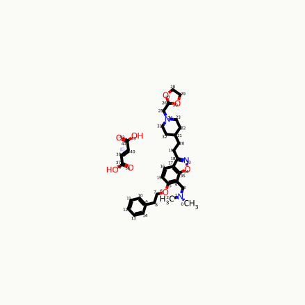 CN(C)Cc1c(OCCc2ccccc2)ccc2c(CCC3CCN(CC4OCCO4)CC3)noc12.O=C(O)/C=C/C(=O)O